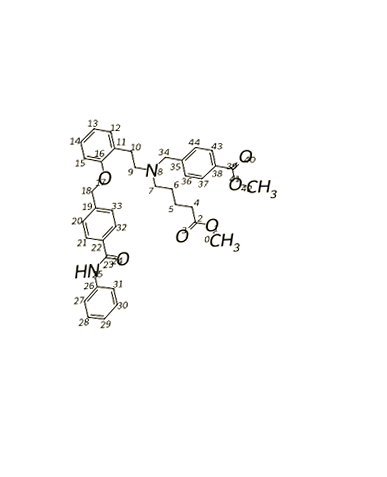 COC(=O)CCCCN(CCc1ccccc1OCc1ccc(C(=O)Nc2ccccc2)cc1)Cc1ccc(C(=O)OC)cc1